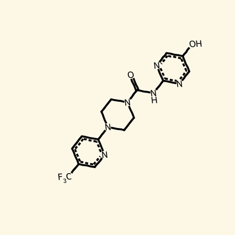 O=C(Nc1ncc(O)cn1)N1CCN(c2ccc(C(F)(F)F)cn2)CC1